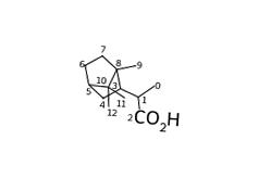 CC(C(=O)O)C1CC2CCC1(C)C2(C)C